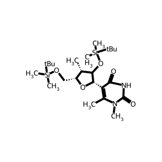 Cc1c([C@@H]2O[C@H](CO[Si](C)(C)C(C)(C)C)[C@H](C)C2O[Si](C)(C)C(C)(C)C)c(=O)[nH]c(=O)n1C